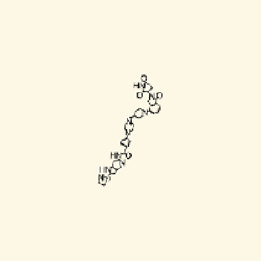 CN1CCC[C@@H]1c1cc2cnc(NC(=O)c3ccc(N4CCN(CC5CCN(c6cccc7c6CN(C6CCC(=O)NC6=O)C7=O)CC5)CC4)cc3)cc2[nH]1